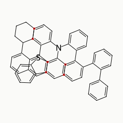 c1ccc(-c2ccccc2-c2ccccc2-c2ccccc2N(c2ccccc2-c2cccc3cccc(C4CCCCC4)c23)c2cccc3c2sc2ccccc23)cc1